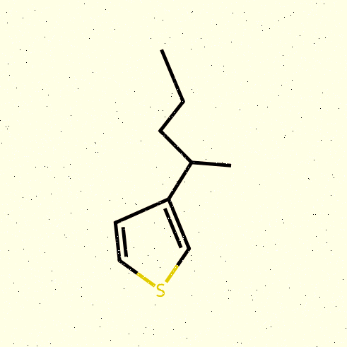 CCCC(C)c1ccsc1